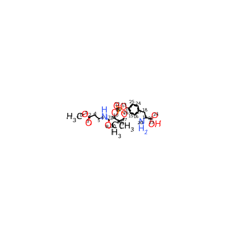 COC(=O)CCNC(=O)[C@@H]1O[P@](=O)(Oc2ccc(CC(N)C(=O)O)cc2)OCC1(C)C